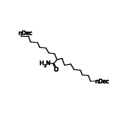 CCCCCCCCCCCCCCCCCCC(CCCCCCCCCCCCCCCCCC)C(N)=O